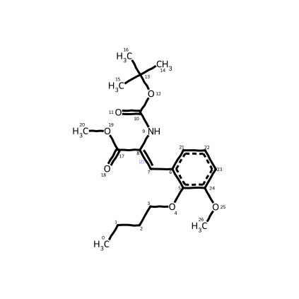 CCCCOc1c(/C=C(\NC(=O)OC(C)(C)C)C(=O)OC)cccc1OC